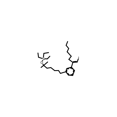 CCCCCC/C(=C\I)c1cccc(CCCCCC(C)(C)O[Si](CC)(CC)CC)c1